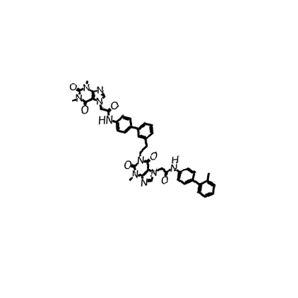 Cc1ccccc1-c1ccc(NC(=O)Cn2cnc3c2c(=O)n(CCc2cccc(-c4ccc(NC(=O)Cn5cnc6c5c(=O)n(C)c(=O)n6C)cc4)c2)c(=O)n3C)cc1